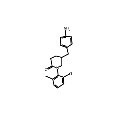 Nc1ccc(CC2CCC(=O)N(c3c(Cl)cccc3Cl)C2)cc1